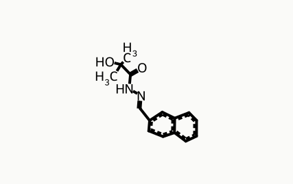 CC(C)(O)C(=O)NN=Cc1ccc2ccccc2c1